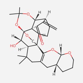 C=C1C(=O)[C@@]23[C@@H]4OC(C)(C)O[C@]25OC[C@]2(C6=C(C[C@H]7CCCO[C@H]7O6)CC(C)(C)[C@H]2[C@@H]5O)[C@@H]3CC[C@@H]14